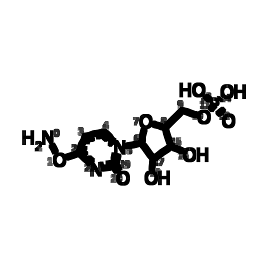 NOc1ccn(C2OC(COP(=O)(O)O)C(O)C2O)c(=O)n1